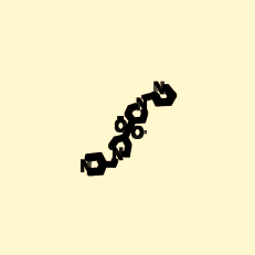 COC([O])(C1CCN(Cc2ccncc2)CC1)C1CCN(Cc2ccccn2)CC1